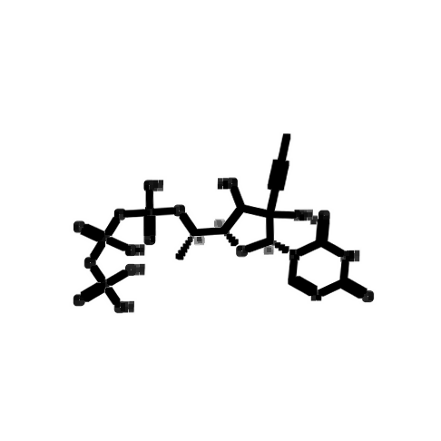 CC#CC1(N)C(O)[C@@H]([C@H](C)OP(=O)(O)OP(=O)(O)OP(=O)(O)O)O[C@H]1n1cnc(=O)[nH]c1=O